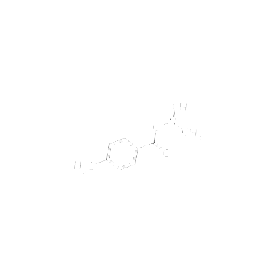 Cc1ccc(C(=O)ON(C)C)cc1